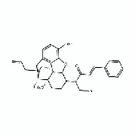 C=CCN1CC[C@]23c4c5ccc(OC(C)=O)c4OC2C(N(CC(C)C)C(=O)/C=C/c2ccccc2)CC[C@@]3(OC(C)=O)[C@H]1C5